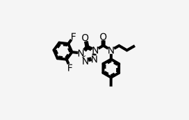 CCCN(C(=O)n1nnn(-c2c(F)cccc2F)c1=O)c1ccc(C)cc1